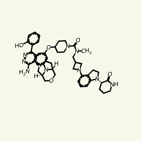 CN(CC1CN(c2cccc3c2CCN3[C@H]2CCCNC2=O)C1)C(=O)N1CCC(Oc2cccc(N3[C@@H]4CCN(c5cc(-c6ccccc6O)nnc5N)C[C@@H]3COC4)c2)CC1